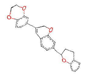 C1=C(c2ccc3c(c2)OCCO3)COc2cc(C3CCc4ccccc4O3)ccc21